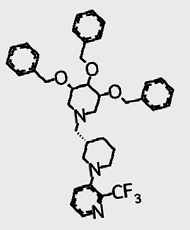 FC(F)(F)c1ncccc1N1CCC[C@@H](CN2C[C@H](OCc3ccccc3)C(OCc3ccccc3)[C@H](OCc3ccccc3)C2)C1